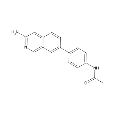 CC(=O)Nc1ccc(-c2ccc3cc(N)ncc3c2)cc1